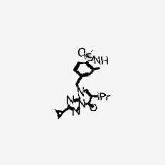 Cc1cc(Cn2cc(C(C)C)c(=O)n3nc(C4CC4)nc23)ccc1[S@](C)(=N)=O